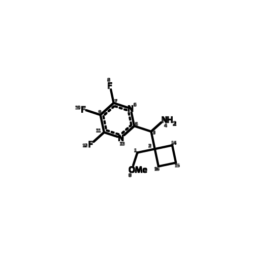 COCC1(C(N)c2nc(F)c(F)c(F)n2)CCC1